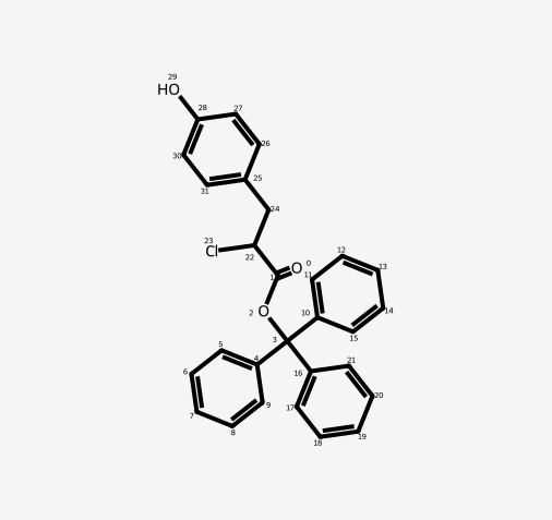 O=C(OC(c1ccccc1)(c1ccccc1)c1ccccc1)C(Cl)Cc1ccc(O)cc1